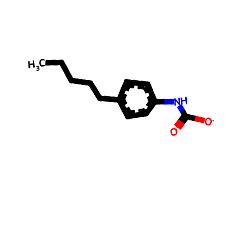 CCCCCc1ccc(NC([O])=O)cc1